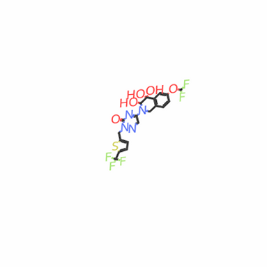 O=c1nc(N2Cc3ccc(OC(F)F)cc3C(O)(O)C2O)cnn1Cc1ccc(C(F)(F)F)s1